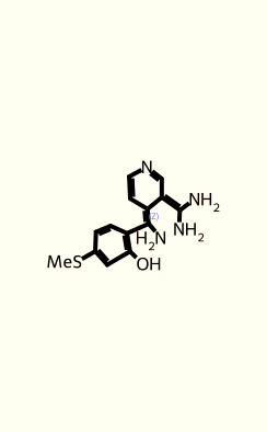 CSc1ccc(/C(N)=c2\ccncc2=C(N)N)c(O)c1